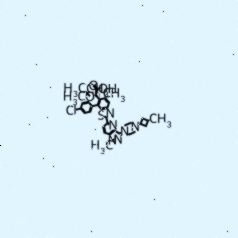 Cc1cc2nc(-c3ccc4c(n3)c(N3CCN([C@H]5C[C@@H](C)C5)CC3)nn4C)sc2c(-c2ccc(Cl)cc2)c1[C@H](OC(C)(C)C)C(=O)O